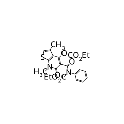 CCOC(=O)Oc1c(C(=O)N(C(=O)OCC)c2ccccc2)c(=O)n(C)c2scc(C)c12